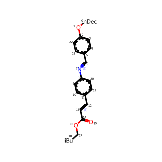 CCCCCCCCCCOc1ccc(/C=N/c2ccc(/C=C/C(=O)OCC(C)CC)cc2)cc1